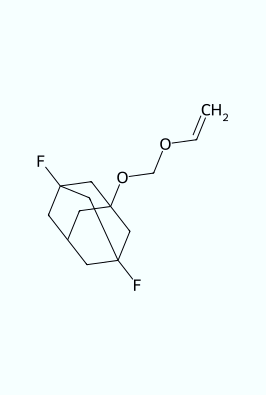 C=COCOC12CC3CC(F)(CC(F)(C3)C1)C2